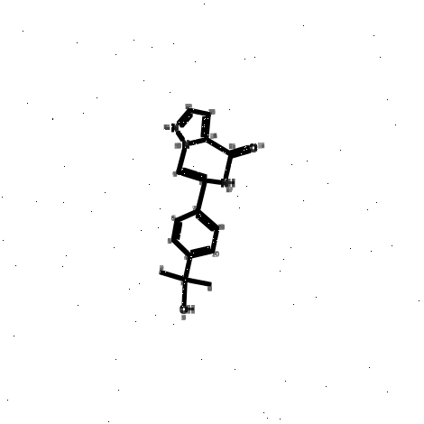 CC(C)(O)c1ccc(-c2cn3nccc3c(=O)[nH]2)cc1